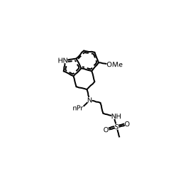 CCCN(CCNS(C)(=O)=O)C1Cc2c[nH]c3ccc(OC)c(c23)C1